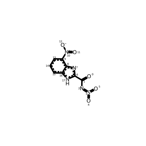 O=C(N=S(=O)=O)c1nc2c([N+](=O)[O-])cccc2[nH]1